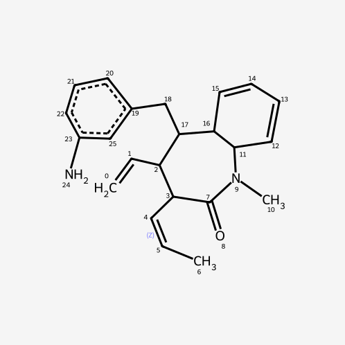 C=CC1C(/C=C\C)C(=O)N(C)C2C=CC=CC2C1Cc1cccc(N)c1